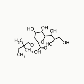 CCC(C)(C)CO[C@]1(C(=O)O)CC(O)[C@@H](O)C([C@H](O)[C@H](O)CO)O1